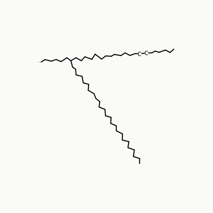 [CH2]CCCCCC(CCCCCCCCCCCCCCCCCCCCC)CCCCCCCCCCCCCCCCCCCCCCCCC